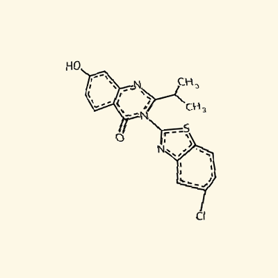 CC(C)c1nc2cc(O)ccc2c(=O)n1-c1nc2cc(Cl)ccc2s1